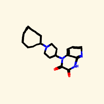 O=c1[nH]c2ncccc2n(C2CCN(C3CCCCCCC3)CC2)c1=O